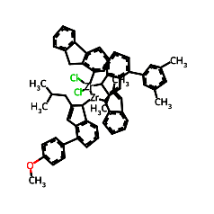 COc1ccc(-c2cccc3c2C=C(CC(C)C)[CH]3[Zr]([CH]2C(C)=Cc3ccccc32)[Zr]([Cl])([Cl])([c]2cccc3c2Cc2ccccc2-3)[CH]2C(C)=Cc3c(-c4cc(C)cc(C)c4)cccc32)cc1